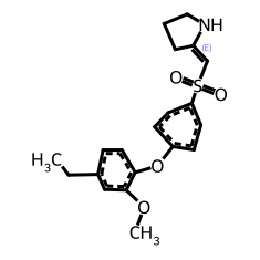 CCc1ccc(Oc2ccc(S(=O)(=O)/C=C3\CCCN3)cc2)c(OC)c1